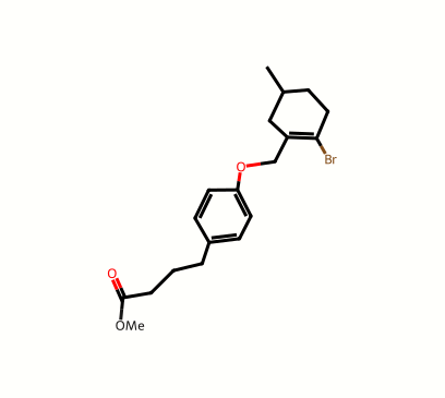 COC(=O)CCCc1ccc(OCC2=C(Br)CCC(C)C2)cc1